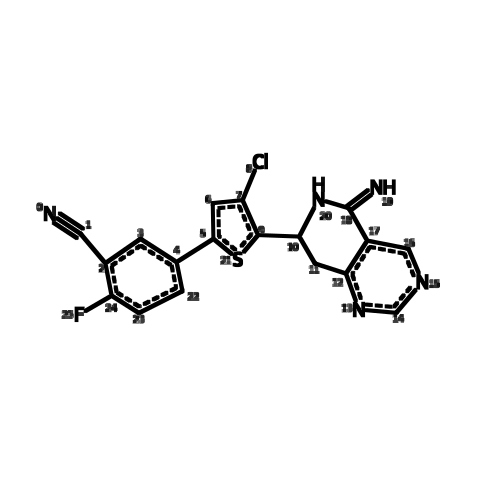 N#Cc1cc(-c2cc(Cl)c(C3Cc4ncncc4C(=N)N3)s2)ccc1F